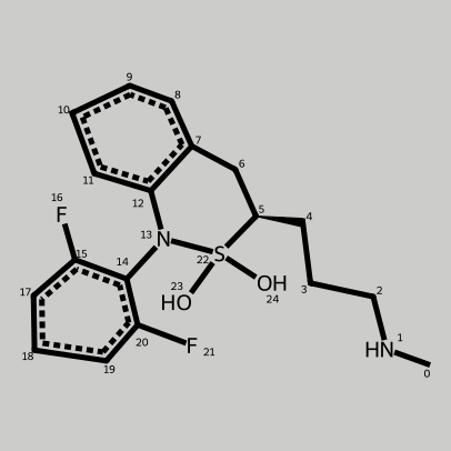 CNCCC[C@@H]1Cc2ccccc2N(c2c(F)cccc2F)S1(O)O